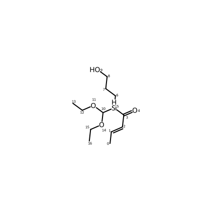 CC=CC(=O)[SiH](CCCO)C(OCC)OCC